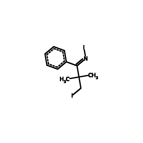 CC(C)(CI)/C(=N/I)c1ccccc1